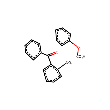 O=C(O)Oc1ccccc1.O=C(c1ccccc1)c1ccccc1[N+](=O)[O-]